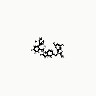 CCc1nc2c(C)cc(C)nc2n1Cc1ccc2c(ccn2C(=O)c2ccccc2-c2nnn[nH]2)c1